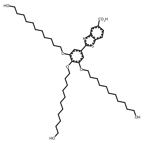 O=C(O)c1ccc2sc(-c3cc(OCCCCCCCCCCCO)c(OCCCCCCCCCCCO)c(OCCCCCCCCCCCO)c3)nc2c1